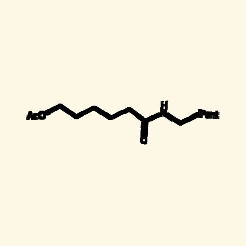 CCCC(C)CNC(=O)CCCCCOC(C)=O